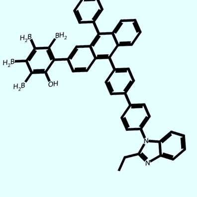 Bc1c(B)c(B)c(-c2ccc3c(-c4ccc(-c5ccc(-n6c(CC)nc7ccccc76)cc5)cc4)c4ccccc4c(-c4ccccc4)c3c2)c(O)c1B